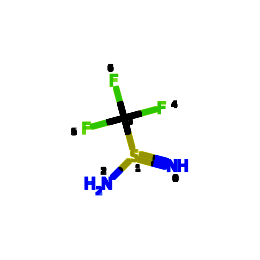 N=S(N)C(F)(F)F